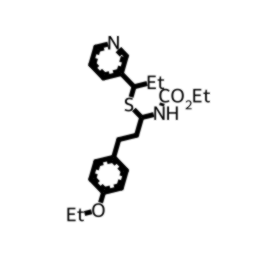 CCOC(=O)NC(CCc1ccc(OCC)cc1)SC(CC)c1cccnc1